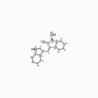 O=C1C(=Cc2c[nH]c3ccccc23)c2ccccc2N1O